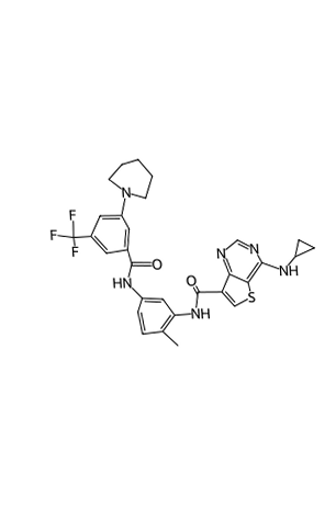 Cc1ccc(NC(=O)c2cc(N3CCCCC3)cc(C(F)(F)F)c2)cc1NC(=O)c1csc2c(NC3CC3)ncnc12